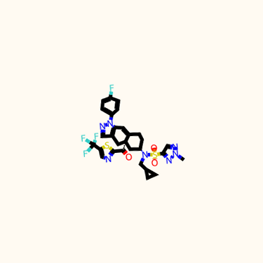 Cn1ncc(S(=O)(=O)N(CC2CC2)[C@H]2CCC3=Cc4c(cnn4-c4ccc(F)cc4)C[C@]3(C(=O)c3ncc(C(F)(F)F)s3)C2)n1